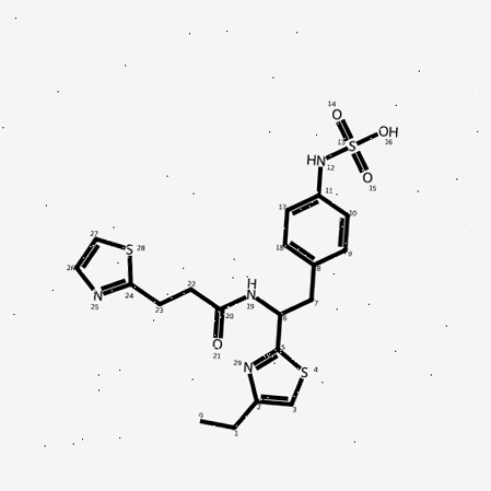 CCc1csc(C(Cc2[c]cc(NS(=O)(=O)O)cc2)NC(=O)CCc2nccs2)n1